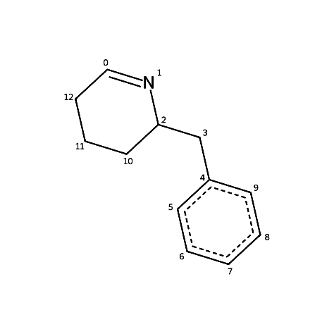 C1=NC(Cc2ccccc2)CCC1